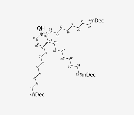 CCCCCCCCCCCCCCCCCCc1ccc(O)c(CCCCCCCCCCCCCCCCCC)c1CCCCCCCCCCCCCCCCCC